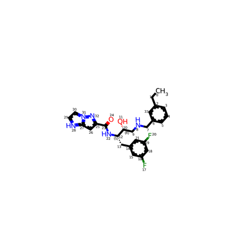 CCc1cccc(CNC[C@@H](O)[C@H](Cc2cc(F)cc(F)c2)NC(=O)c2cc3[nH]ccn3n2)c1